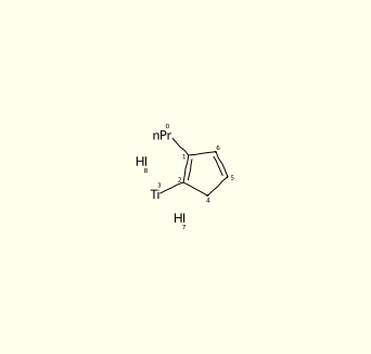 CCCC1=[C]([Ti])CC=C1.I.I